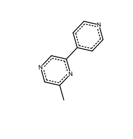 Cc1cncc(-c2ccncc2)n1